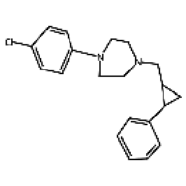 Clc1ccc(N2CCN(CC3CC3c3ccccc3)CC2)cc1